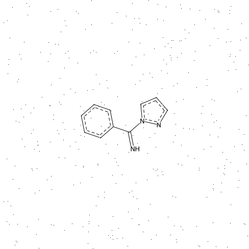 N=C(c1ccccc1)n1cccn1